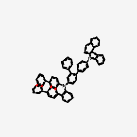 c1ccc(-c2ccc(-c3ccccc3N(c3ccc(-c4ccccc4)cc3)c3ccc(-c4ccc(-n5c6ccccc6c6c7ccccc7ccc65)cc4)c(-c4ccccc4)c3)cc2)cc1